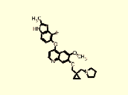 COc1cc2c(Oc3ccc4[nH]c(C)cc4c3F)ccnc2cc1OCC1(CN2CCCC2)CC1